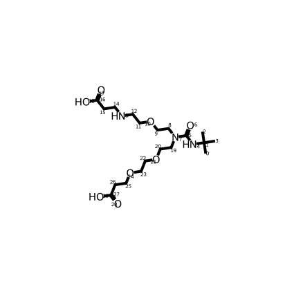 CC(C)(C)NC(=O)N(CCOCCNCCC(=O)O)CCOCCOCCC(=O)O